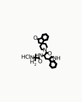 CC(C)(N)C(=O)NC(Cc1c[nH]c2ccccc12)C(=O)N1CCC2(CC1)CC(=O)c1ccccc12.Cl